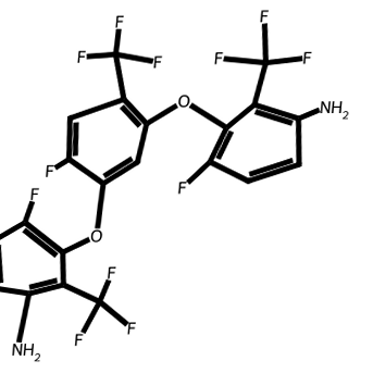 Nc1ccc(F)c(Oc2cc(Oc3c(F)ccc(N)c3C(F)(F)F)c(C(F)(F)F)cc2F)c1C(F)(F)F